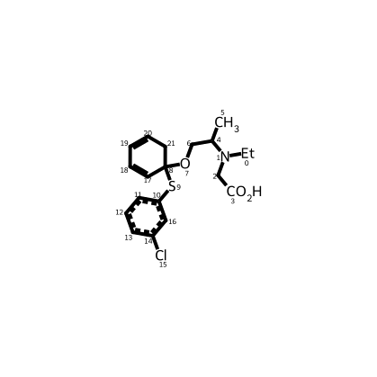 CCN(CC(=O)O)C(C)COC1(Sc2cccc(Cl)c2)C=CC=CC1